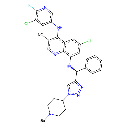 CC(C)(C)N1CCC(n2cc([C@@H](Nc3cc(Cl)cc4c(Nc5cnc(F)c(Cl)c5)c(C#N)cnc34)c3ccccc3)nn2)CC1